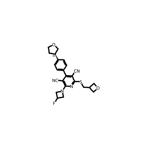 N#Cc1c(SCC2COC2)nc(N2CC(F)C2)c(C#N)c1-c1ccc([C@H]2CCOC2)cc1